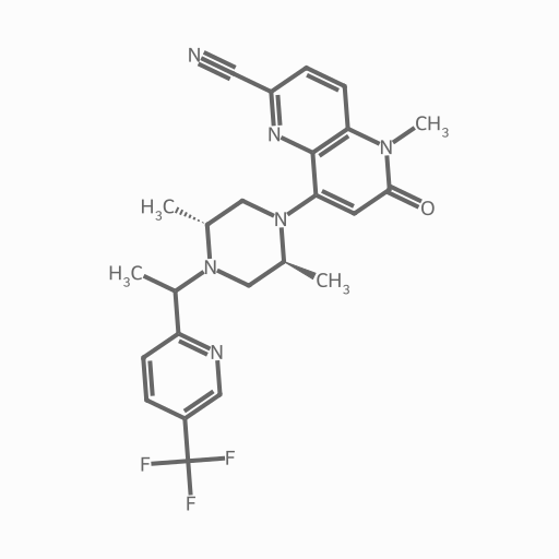 CC(c1ccc(C(F)(F)F)cn1)N1C[C@H](C)N(c2cc(=O)n(C)c3ccc(C#N)nc23)C[C@H]1C